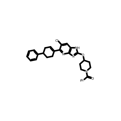 CC(C)C(=O)N1CCC(Oc2nc3nc(C4=CCC(c5ccccc5)CC4)c(Cl)cc3[nH]2)CC1